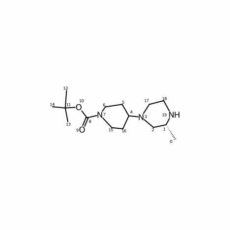 C[C@@H]1CN(C2CCN(C(=O)OC(C)(C)C)CC2)CCN1